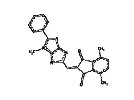 Cc1ccc(C)c2c1C(=O)C(=Cc1nc3c(nc(-c4ccccc4)n3C)s1)C2=O